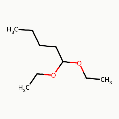 C[CH]OC(CCCC)OCC